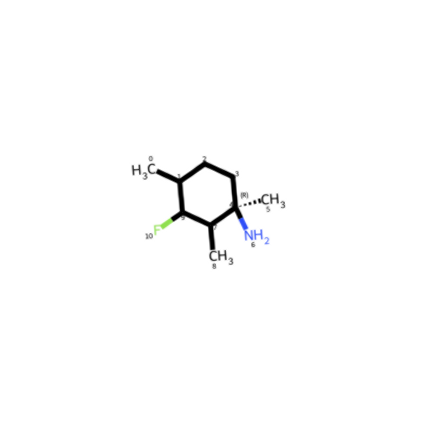 CC1CC[C@@](C)(N)C(C)C1F